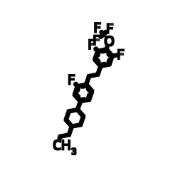 CCCC1CCC(c2ccc(CCc3cc(F)c(OC(F)(F)F)c(F)c3)c(F)c2)CC1